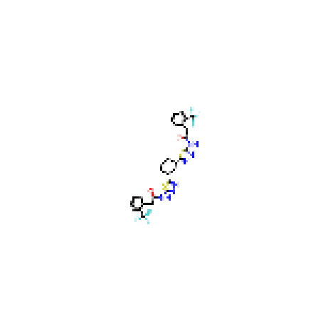 O=C(Cc1ccccc1C(F)(F)F)Nc1nnc([C@H]2CCC[C@H](c3nnc(NC(=O)Cc4ccccc4C(F)(F)F)s3)C2)s1